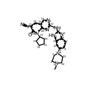 CN1CCN(c2ccc3nc(Nc4ncc5cc(C#N)c(=O)n(C6CCCC6)c5n4)[nH]c3c2)CC1